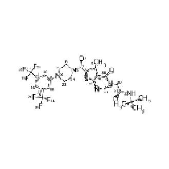 Cc1c(C(=O)N2CCN(c3cc(C(F)(F)F)cc(C(F)(F)F)c3)CC2)sc2ncn(CC(=O)NC(C)(C)C)c(=O)c12